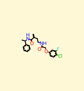 C=C(CCNC(=O)COc1ccc(Cl)c(F)c1)C(=O)NC(C)c1ccccc1